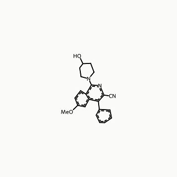 COc1ccc2c(N3CCC(O)CC3)nc(C#N)c(-c3ccccc3)c2c1